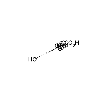 O=C(O)C(=O)C(=O)C(=O)C(=O)C(=O)C(=O)C(=O)C(=O)CCCCCCCCCCCCCCCCCCCCO